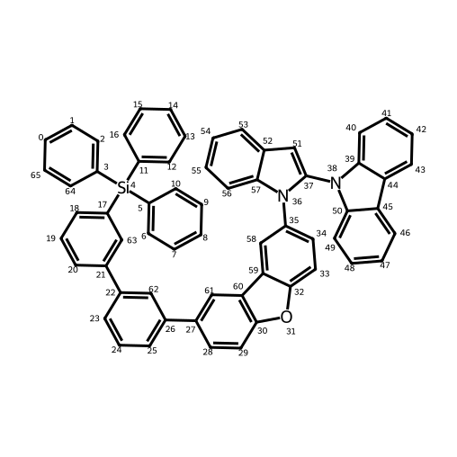 c1ccc([Si](c2ccccc2)(c2ccccc2)c2cccc(-c3cccc(-c4ccc5oc6ccc(-n7c(-n8c9ccccc9c9ccccc98)cc8ccccc87)cc6c5c4)c3)c2)cc1